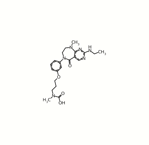 CCNc1ncc2c(n1)N(C)CCN(c1cccc(OCCCN(C)C(=O)O)c1)C2=O